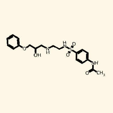 CC(=O)Nc1ccc(S(=O)(=O)NCCNCC(O)COc2ccccc2)cc1